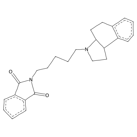 O=C1c2ccccc2C(=O)N1CCCCCN1CCC2c3ccccc3CCC21